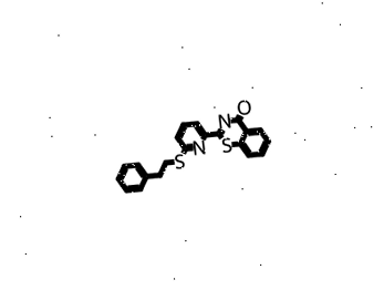 O=c1nc(-c2cccc(SCCc3ccccc3)n2)sc2ccccc12